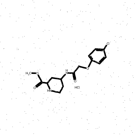 COC(=O)C1CC(NC(=O)COc2ccc(Cl)cc2)CCN1.Cl